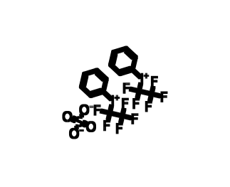 FC(F)(F)C(F)(F)[I+]c1ccccc1.FC(F)(F)C(F)(F)[I+]c1ccccc1.O=S(=O)([O-])[O-]